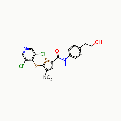 O=C(Nc1ccc(CCO)cc1)c1cc([N+](=O)[O-])c(Sc2c(Cl)cncc2Cl)s1